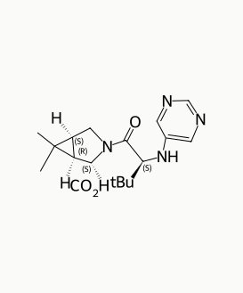 CC(C)(C)[C@H](Nc1cncnc1)C(=O)N1C[C@H]2[C@@H]([C@H]1C(=O)O)C2(C)C